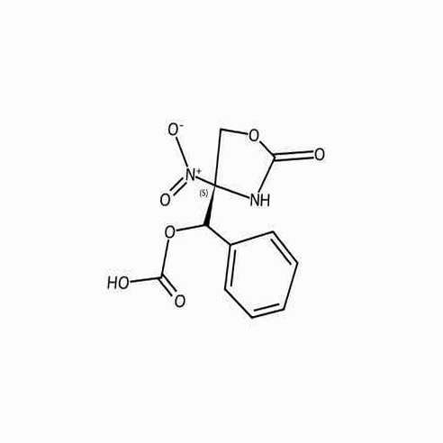 O=C(O)OC(c1ccccc1)[C@@]1([N+](=O)[O-])COC(=O)N1